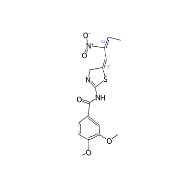 C/C=C(\C=C1/CN=C(NC(=O)c2ccc(OC)c(OC)c2)S1)[N+](=O)[O-]